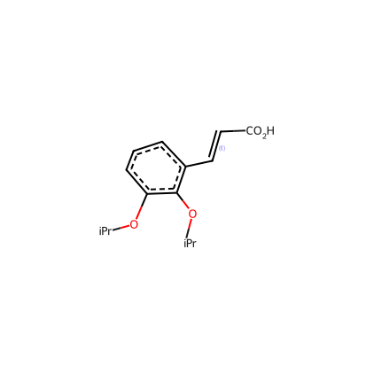 CC(C)Oc1cccc(/C=C/C(=O)O)c1OC(C)C